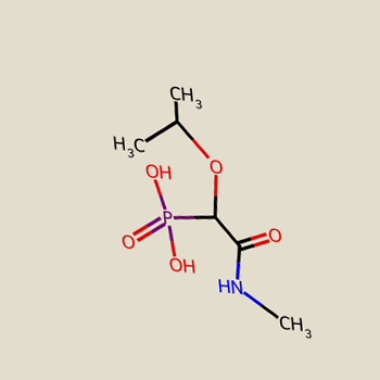 CNC(=O)C(OC(C)C)P(=O)(O)O